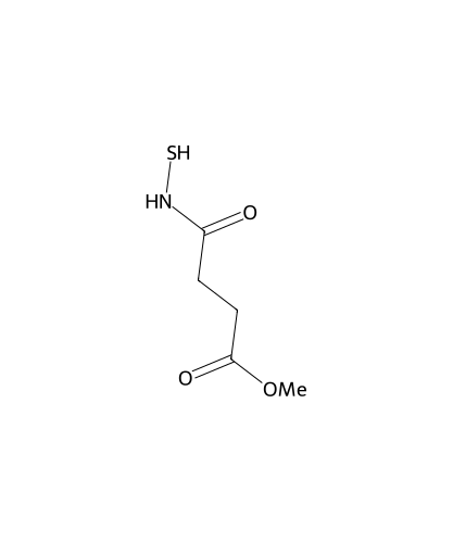 COC(=O)CCC(=O)NS